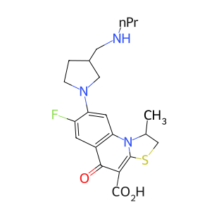 CCCNCC1CCN(c2cc3c(cc2F)c(=O)c(C(=O)O)c2n3C(C)CS2)C1